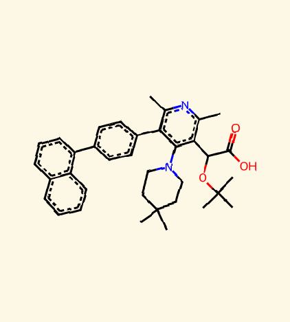 Cc1nc(C)c(C(OC(C)(C)C)C(=O)O)c(N2CCC(C)(C)CC2)c1-c1ccc(-c2cccc3ccccc23)cc1